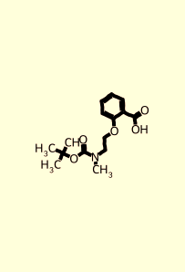 CN(CCOc1ccccc1C(=O)O)C(=O)OC(C)(C)C